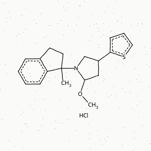 COC1CC(c2cccs2)CN1C1(C)CCc2ccccc21.Cl